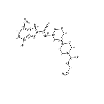 CCOC(=O)N1CCN([C@@H]2CCC[C@@H](NC(=O)c3cc4c(F)ccc(C)c4[nH]3)C2)CC1